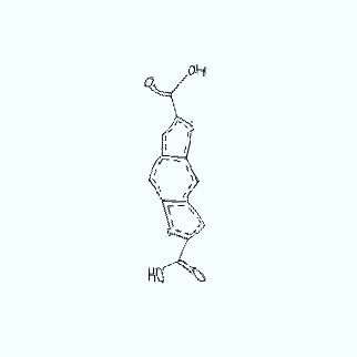 O=C(O)c1cc2cc3sc(C(=O)O)cc3cc2s1